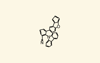 N#Cc1cccc(-c2ccc3oc4ccccc4c3c2)c1-n1c2ccccc2c2ccccc21